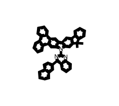 CC1(C)c2ccccc2-c2cc3c4cc5c6ccccc6c6ccccc6c5cc4n(-c4nc(-c5ccc6ccccc6c5)c5ccccc5n4)c3cc21